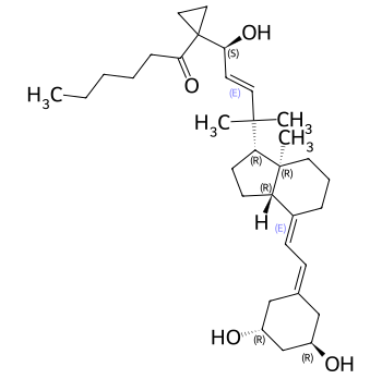 CCCCCC(=O)C1([C@@H](O)/C=C/C(C)(C)[C@H]2CC[C@H]3/C(=C/C=C4C[C@@H](O)C[C@H](O)C4)CCC[C@]23C)CC1